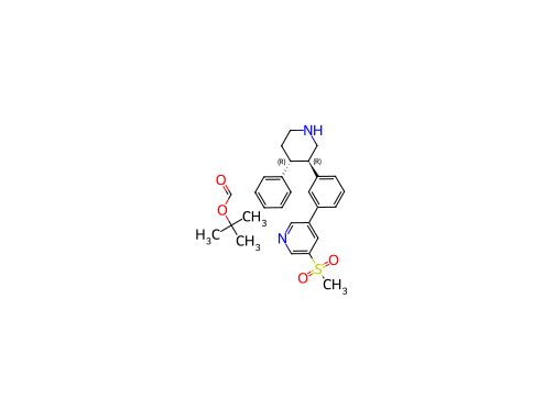 CC(C)(C)OC=O.CS(=O)(=O)c1cncc(-c2cccc([C@@H]3CNCC[C@H]3c3ccccc3)c2)c1